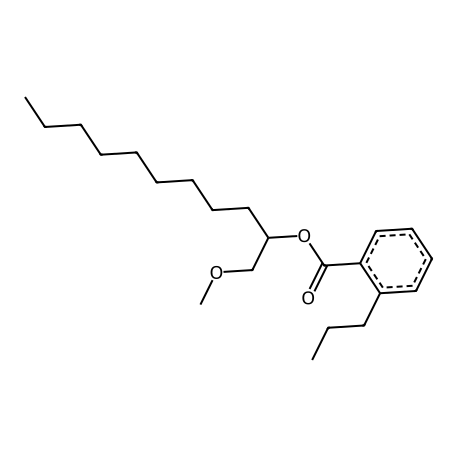 CCCCCCCCCC(COC)OC(=O)c1ccccc1CCC